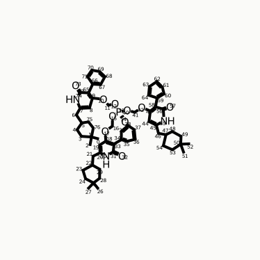 CC1(C)CCC(Cc2cc(OCOP(=O)(OCOc3cc(CC4CCC(C)(C)CC4)[nH]c(=O)c3-c3ccccc3)OCOc3cc(CC4CCC(C)(C)CC4)[nH]c(=O)c3-c3ccccc3)c(-c3ccccc3)c(=O)[nH]2)CC1